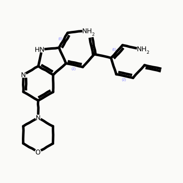 C=C/C=C\C(=C/N)C(=C)/C=c1\c(=C/N)[nH]c2ncc(N3CCOCC3)cc12